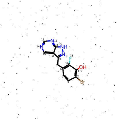 Oc1c(Br)ccc(Cc2n[nH]c3ncncc23)c1F